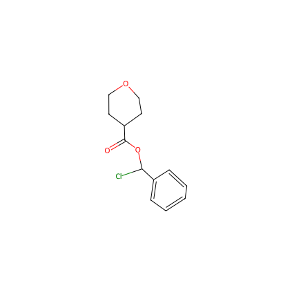 O=C(OC(Cl)c1ccccc1)C1CCOCC1